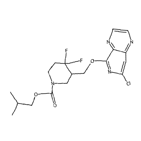 CC(C)COC(=O)N1CCC(F)(F)C(COc2nc(Cl)cc3nccnc23)C1